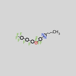 CCCCCc1cnc(-c2cc(F)c(C(F)(F)Oc3ccc(-c4ccc(-c5cc(F)c(C(F)F)c(F)c5)c(F)c4)c(F)c3)c(F)c2)nc1